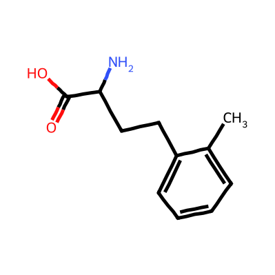 Cc1ccccc1CCC(N)C(=O)O